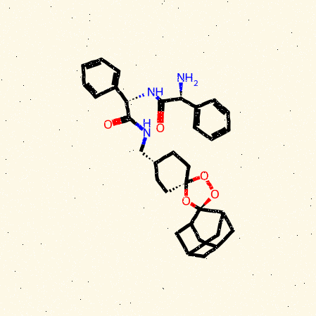 N[C@H](C(=O)N[C@H](C(=O)NC[C@H]1CC[C@]2(CC1)OO[C@]1(O2)C2CC3CC(C2)CC1C3)c1ccccc1)c1ccccc1